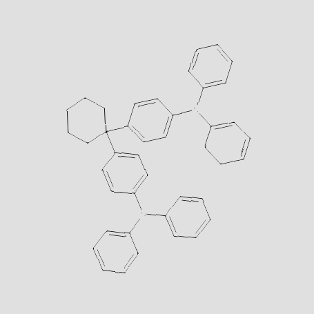 C1=CCCC(N(c2ccccc2)c2ccc(C3(c4ccc(N(c5ccccc5)c5ccccc5)cc4)CCCCC3)cc2)=C1